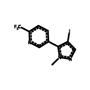 Cn1ncc(I)c1-c1ccc(C(F)(F)F)nc1